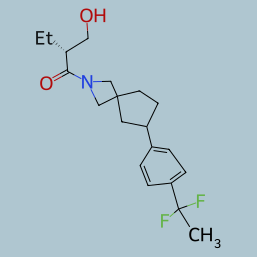 CC[C@H](CO)C(=O)N1CC2(CCC(c3ccc(C(C)(F)F)cc3)C2)C1